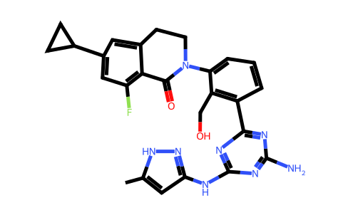 Cc1cc(Nc2nc(N)nc(-c3cccc(N4CCc5cc(C6CC6)cc(F)c5C4=O)c3CO)n2)n[nH]1